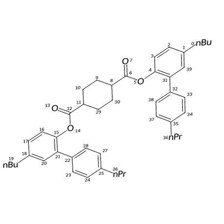 CCCCc1ccc(OC(=O)C2CCC(C(=O)Oc3ccc(CCCC)cc3-c3ccc(CCC)cc3)CC2)c(-c2ccc(CCC)cc2)c1